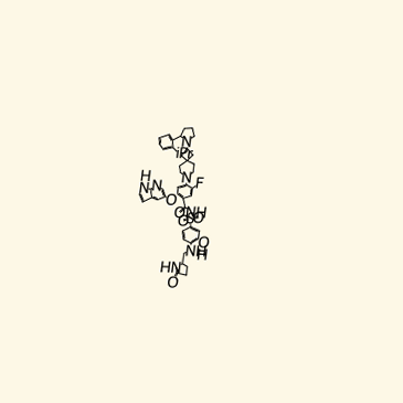 CC(C)c1ccccc1C1CCCN1C1CC2(CCN(c3cc(Oc4cnc5[nH]ccc5c4)c(C(=O)NS(=O)(=O)c4ccc(NCC5CCC(=O)N5)c(O)c4)cc3F)CC2)C1